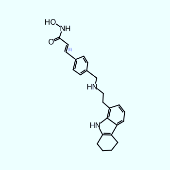 O=C(/C=C/c1ccc(CNCCc2cccc3c4c([nH]c23)CCCC4)cc1)NO